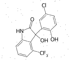 O=C1Nc2cccc(C(F)(F)F)c2C1(O)c1cc(Cl)ccc1O